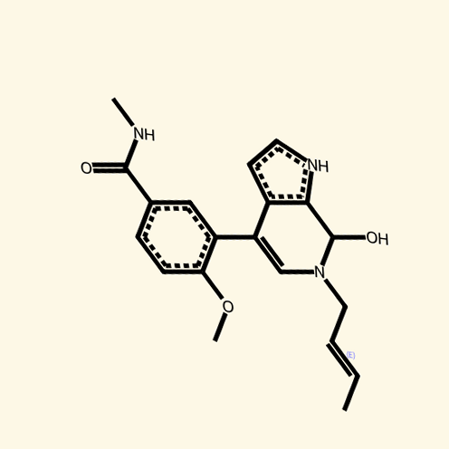 C/C=C/CN1C=C(c2cc(C(=O)NC)ccc2OC)c2cc[nH]c2C1O